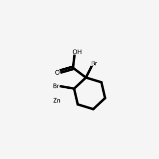 O=C(O)C1(Br)CCCCC1Br.[Zn]